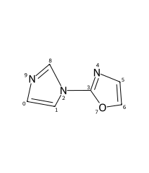 c1cn(-c2ncco2)cn1